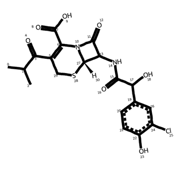 CC(C)C(=O)C1=C(C(=O)O)N2C(=O)C(NC(=O)C(O)c3ccc(O)c(Cl)c3)[C@@H]2SC1